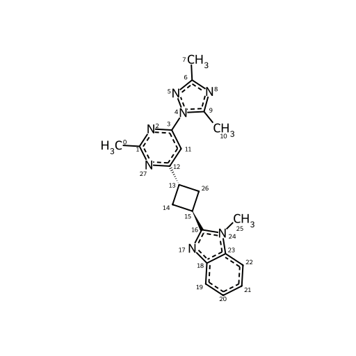 Cc1nc(-n2nc(C)nc2C)cc([C@H]2C[C@H](c3nc4ccccc4n3C)C2)n1